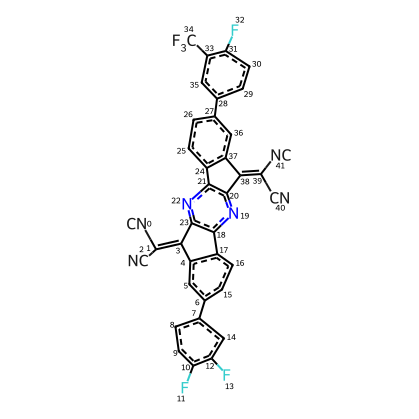 [C-]#[N+]/C(C#N)=C1/c2cc(-c3ccc(F)c(F)c3)ccc2-c2nc3c(nc21)-c1ccc(-c2ccc(F)c(C(F)(F)F)c2)cc1/C3=C(/C#N)[N+]#[C-]